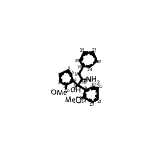 COc1ccccc1C(O)(c1ccccc1OC)[C@H](N)Cc1ccccc1